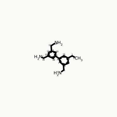 CCc1cc(CN)cc(-c2cc(CN)cc(CN)c2)c1